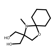 CN1C(CO)(CO)COC12CCCCC2